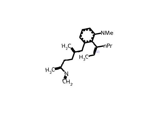 C=NC(=C)CCC(=C)Cc1cccc(NC)c1/C(=C\C)CCC